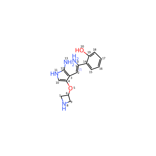 N/C(=C\c1c(OC2CNC2)c[nH]c1N)c1ccccc1O